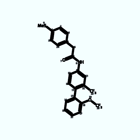 CSc1ccc(CC(=O)Nc2ccc(-c3ccccc3OC(F)(F)F)c(C(F)(F)F)c2)cc1